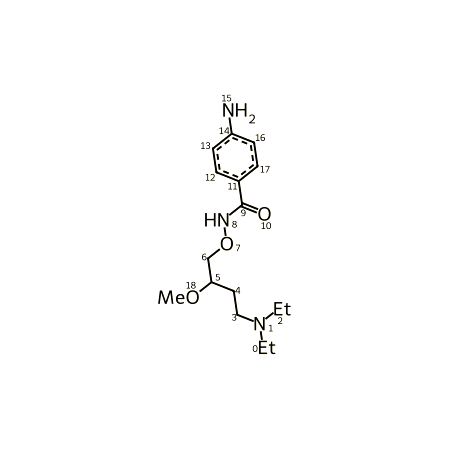 CCN(CC)CCC(CONC(=O)c1ccc(N)cc1)OC